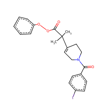 CC(C)(C(=O)OOc1ccccc1)C1=CCN(C(=O)c2ccc(I)cc2)CC1